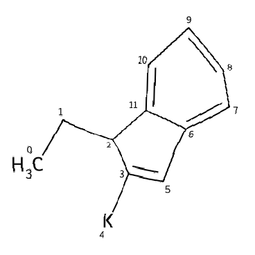 CCC1[C]([K])=Cc2ccccc21